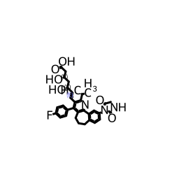 CC(C)c1nc2c(c(-c3ccc(F)cc3)c1/C=C/[C@@H](O)C[C@@H](O)CC(=O)O)CCCc1ccc(N3C(=O)CNC3=O)cc1-2